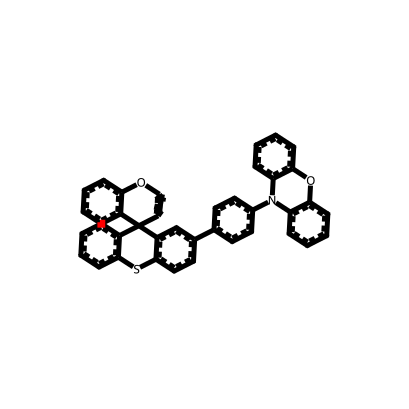 c1ccc2c(c1)Oc1ccccc1N2c1ccc(-c2ccc3c(c2)C2(c4ccccc4Oc4ccccc42)c2ccccc2S3)cc1